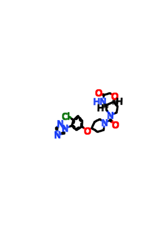 O=C1CO[C@H]2CCN(C(=O)N3CCC(Oc4ccc(Cl)c(-n5cncn5)c4)CC3)C[C@H]2N1